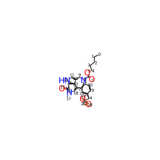 CCCCCOC(=O)N1Cc2c[nH]c3c(=O)n(C)cc(c23)-c2cc(CS(C)(=O)=O)ccc21